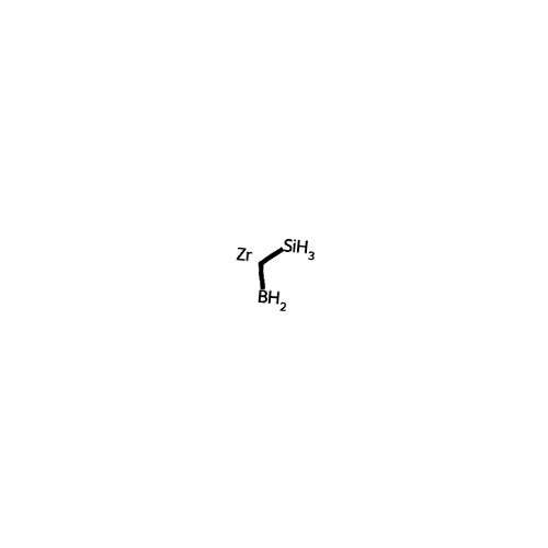 BC[SiH3].[Zr]